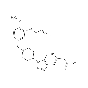 C=CCOc1cc(CN2CCC(n3nnc4cc(OC(=O)O)ccc43)CC2)ccc1OC